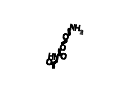 CC(=O)CNC(=O)COCCOCCN